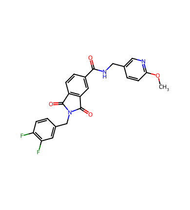 COc1ccc(CNC(=O)c2ccc3c(c2)C(=O)N(Cc2ccc(F)c(F)c2)C3=O)cn1